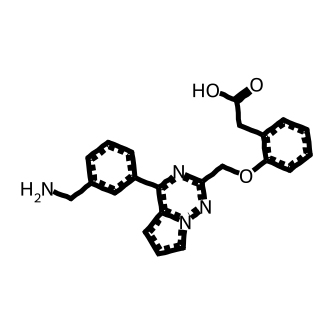 NCc1cccc(-c2nc(COc3ccccc3CC(=O)O)nn3cccc23)c1